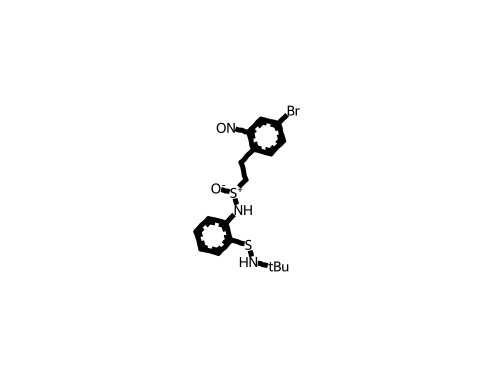 CC(C)(C)NSc1ccccc1N[S+]([O-])CCc1ccc(Br)cc1N=O